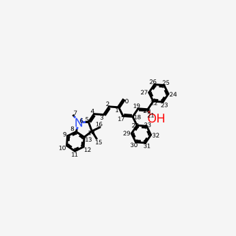 C=C(/C=C/C=C1/N(C)c2ccccc2C1(C)C)/C=C(\C=C(/O)c1ccccc1)c1ccccc1